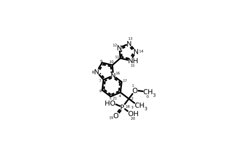 COC(C)(c1ccc2ncc(-c3nnn[nH]3)n2c1)P(=O)(O)O